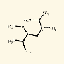 COC(C[C@@H](C)C(C)N)C(C)C